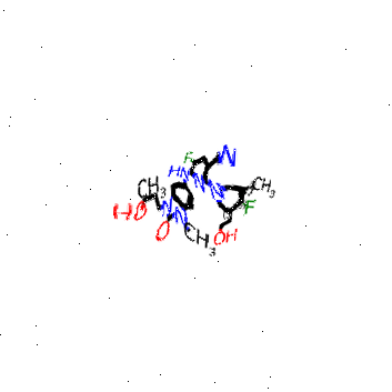 CC(O)CCn1c(=O)n(C)c2ccc(Nc3nc(N4C[C@H](CCO)[C@@H](F)[C@H](C)C4)c(C#N)cc3F)cc21